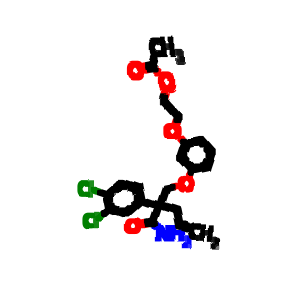 C=CCC(COc1cccc(OCCOC(C)=O)c1)(C(N)=O)c1ccc(Cl)c(Cl)c1